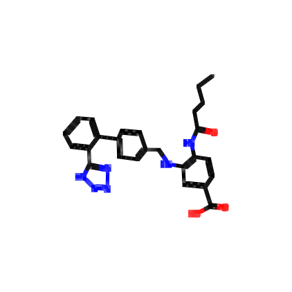 CCCCC(=O)Nc1ccc(C(=O)O)cc1NCc1ccc(-c2ccccc2-c2nnn[nH]2)cc1